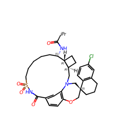 CC(C)C(=O)N[C@H]1CCCCCS(=O)(=O)NC(=O)c2ccc3c(c2)N(C[C@@H]2CC[C@H]21)C[C@@]1(CCCc2cc(Cl)ccc21)CO3